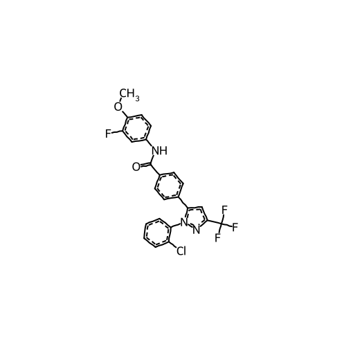 COc1ccc(NC(=O)c2ccc(-c3cc(C(F)(F)F)nn3-c3ccccc3Cl)cc2)cc1F